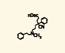 CCCCCCCCCCCCC(C#N)(CCCN(C)CCc1ccccc1)c1ccccc1